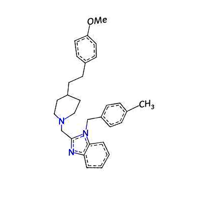 COc1ccc(CCC2CCN(Cc3nc4ccccc4n3Cc3ccc(C)cc3)CC2)cc1